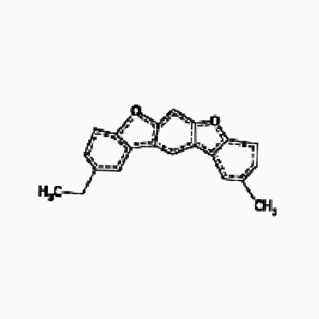 CCc1ccc2oc3cc4oc5ccc(C)cc5c4cc3c2c1